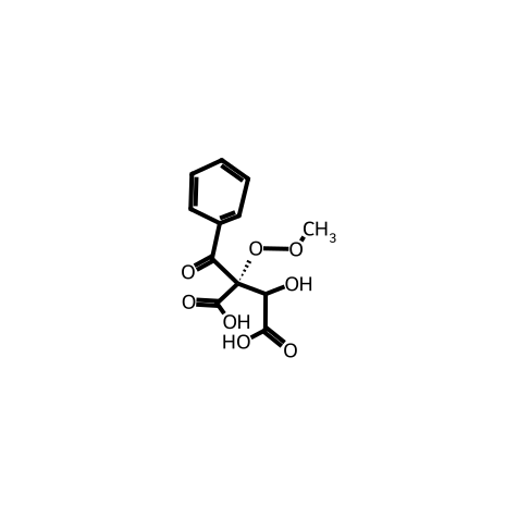 COO[C@](C(=O)O)(C(=O)c1ccccc1)C(O)C(=O)O